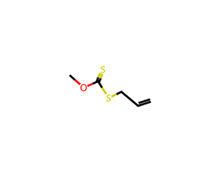 C=CCSC(=S)OC